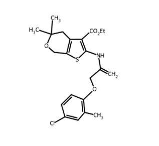 C=C(COc1ccc(Cl)cc1C)Nc1sc2c(c1C(=O)OCC)CC(C)(C)OC2